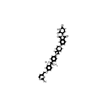 CC(=O)c1nccc(COc2ccc(C(C)(C)c3ccc(N4CC5(CCN(c6ccc7c(c6)C(=O)N(C6CCC(=O)NC6=O)C7=O)CC5)C4)cc3)cc2)n1